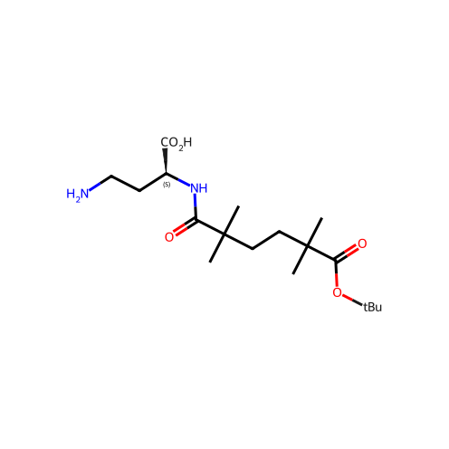 CC(C)(C)OC(=O)C(C)(C)CCC(C)(C)C(=O)N[C@@H](CCN)C(=O)O